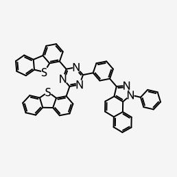 c1ccc(-n2nc(-c3cccc(-c4nc(-c5cccc6c5sc5ccccc56)nc(-c5cccc6c5sc5ccccc56)n4)c3)c3ccc4ccccc4c32)cc1